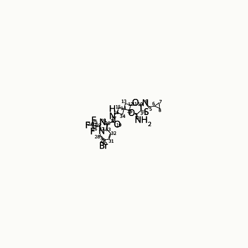 NC(=O)c1sc(C2CC2)nc1O[C@H]1CC2(C[C@H](NC(=O)c3nc(C(F)(F)F)n4cc(Br)ccc34)C2)C1